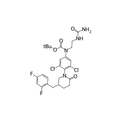 CC(C)(C)OC(=O)N(CCNC(N)=O)c1cc(Cl)c(N2CC(Cc3ccc(F)cc3F)CCC2=O)c(Cl)c1